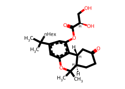 CCCCCCC(C)(C)c1cc(OC(=O)[C@H](O)CO)c2c(c1)OC(C)(C)[C@@H]1CCC(=O)C[C@@H]21